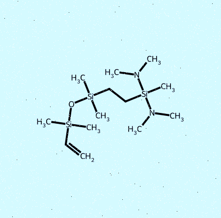 C=C[Si](C)(C)O[Si](C)(C)CC[Si](C)(N(C)C)N(C)C